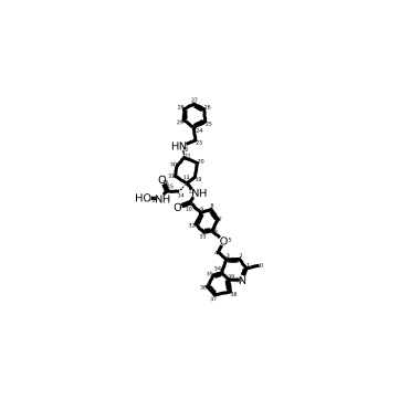 Cc1cc(COc2ccc(C(=O)N[C@]3(CC(=O)NO)CC[C@@H](NCc4ccccc4)CC3)cc2)c2ccccc2n1